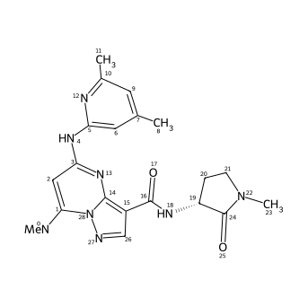 CNc1cc(Nc2cc(C)cc(C)n2)nc2c(C(=O)N[C@@H]3CCN(C)C3=O)cnn12